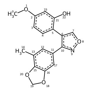 COc1ccc(-c2conc2-c2cc(C)c3c(c2)OCO3)c(O)c1